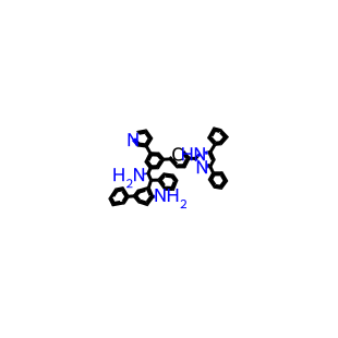 Nc1ccc(-c2ccccc2)cc1C(c1ccccc1)[C@@H](N)c1cc(-c2ccc(C3N=C(c4ccccc4)C=C(c4ccccc4)N3)cc2)cc(-c2cccnc2)c1